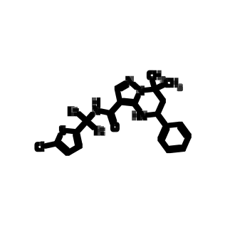 CCC(CC)(NC(=O)c1cnn2c1NC(c1ccccc1)CC2(C)C)c1ccc(Cl)s1